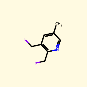 Cc1cnc(CI)c(CI)c1